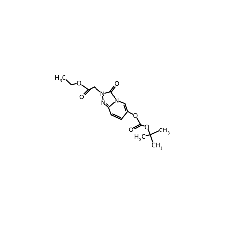 CCOC(=O)Cn1nc2ccc(OC(=O)OC(C)(C)C)cn2c1=O